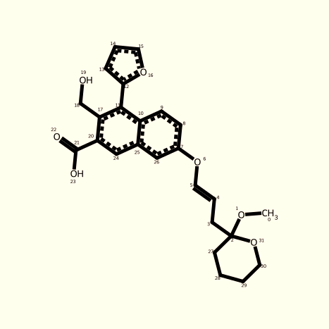 COC1(CC=COc2ccc3c(-c4ccco4)c(CO)c(C(=O)O)cc3c2)CCCCO1